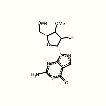 COC[C@H]1O[C@@H](n2ncc3c(=O)[nH]c(N)nc32)C(O)C1OC